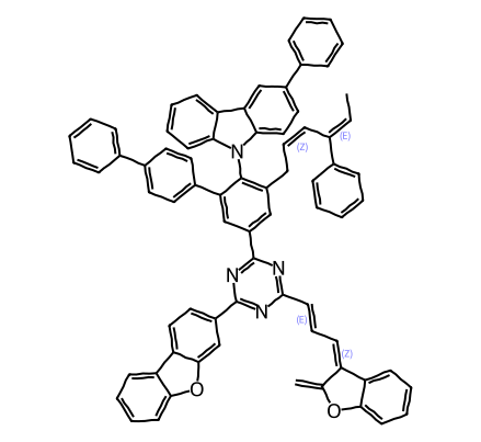 C=c1oc2ccccc2/c1=C/C=C/c1nc(-c2cc(C/C=C\C(=C/C)c3ccccc3)c(-n3c4ccccc4c4cc(-c5ccccc5)ccc43)c(-c3ccc(-c4ccccc4)cc3)c2)nc(-c2ccc3c(c2)oc2ccccc23)n1